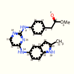 COC(=O)Cc1ccc(Nc2nccc(Nc3ccc4[nH]c(C)cc4c3)n2)cc1